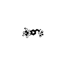 COC(=O)C1(C(=O)OC)Oc2ccc(C[C@@H](C)OS(C)(=O)=O)cc2O1